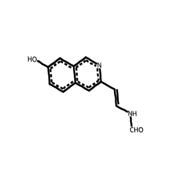 O=CNC=Cc1cc2ccc(O)cc2cn1